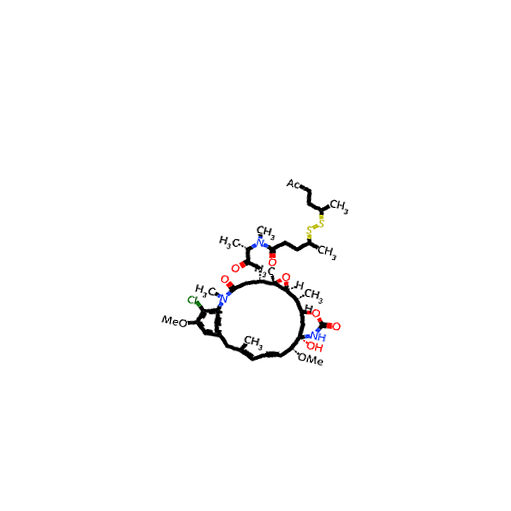 COc1cc2cc(c1Cl)N(C)C(=O)C[C@H](CC(=O)[C@H](C)N(C)C(=O)CCC(C)SSC(C)CCC(C)=O)[C@]1(C)O[C@H]1[C@H](C)[C@@H]1C[C@@](O)(NC(=O)O1)[C@H](OC)/C=C/C=C(\C)C2